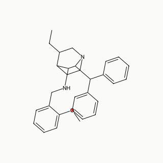 CCC1CN2CCC1C(NCc1ccccc1OC)C2C(c1ccccc1)c1ccccc1